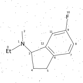 CCN(C)C1CCc2ccc(F)cc21